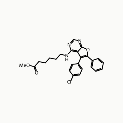 COC(=O)CCCCCNc1ncnc2oc(-c3ccccc3)c(-c3ccc(Cl)cc3)c12